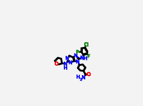 NC(=O)C1CCC(n2c(Nc3c(F)cc(Cl)cc3F)nc3cnc(NC4CCCOC4)nc32)CC1